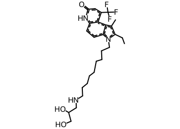 CCc1c(C)c2c3c(C(F)(F)F)cc(=O)[nH]c3ccc2n1CCCCCCCCCNCC(O)CO